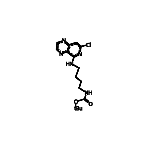 CC(C)(C)OC(=O)NCCCCNc1nc(Cl)cc2nccnc12